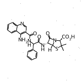 CC1(C)S[C@@H]2[C@H](NC(=O)C(NC(=O)c3cnc4ccccc4c3N)c3ccccc3)C(=O)N2[C@H]1C(=O)O